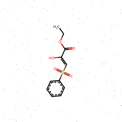 CCOC(=O)C(O)=CS(=O)(=O)c1ccccc1